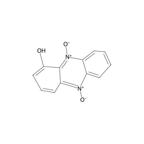 [O-][n+]1c2ccccc2[n+]([O-])c2c(O)cccc21